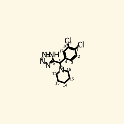 Clc1ccc(C(c2nnn[nH]2)N2CCCCC2)cc1Cl